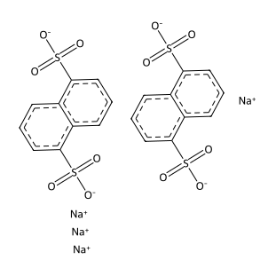 O=S(=O)([O-])c1cccc2c(S(=O)(=O)[O-])cccc12.O=S(=O)([O-])c1cccc2c(S(=O)(=O)[O-])cccc12.[Na+].[Na+].[Na+].[Na+]